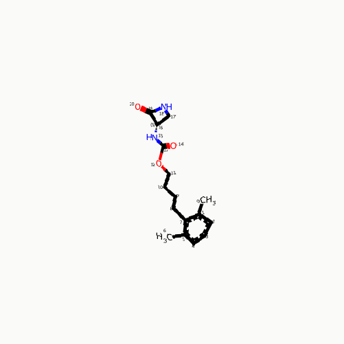 Cc1cccc(C)c1CCCCOC(=O)N[C@H]1CNC1=O